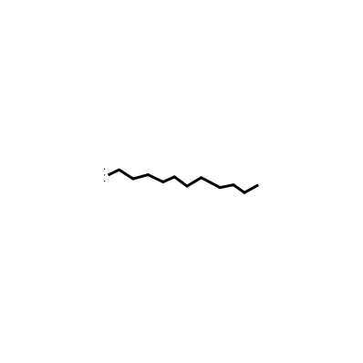 [C]CCCCCCCCCCC